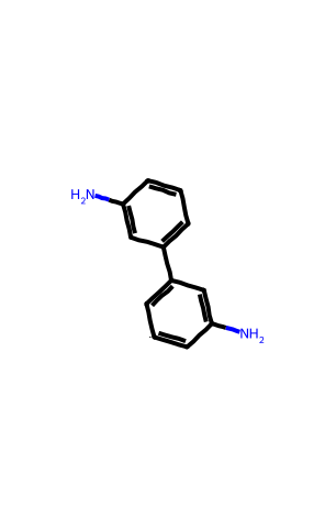 Nc1c[c]cc(-c2cccc(N)c2)c1